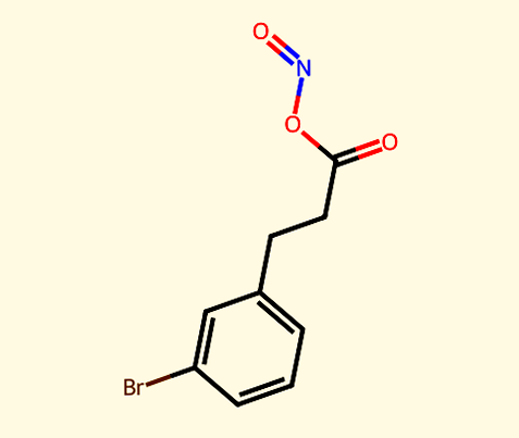 O=NOC(=O)CCc1cccc(Br)c1